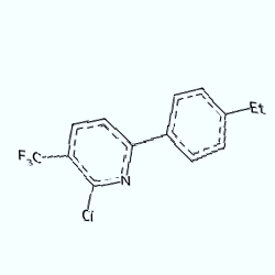 CCc1ccc(-c2ccc(C(F)(F)F)c(Cl)n2)cc1